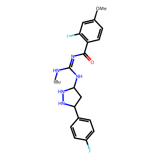 COc1ccc(C(=O)/N=C(\NC2CC(c3ccc(F)cc3)NN2)NC(C)(C)C)c(F)c1